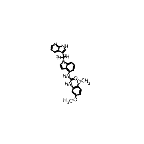 [2H]C([2H])(c1c[nH]c2ncccc12)n1ccc2c(NC(=O)Nc3cc(OC)ccc3OC)cccc21